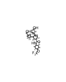 O=C(Nc1ccc(OC(F)(F)F)cc1)c1cnc(N2CC[C@@H](O)C2)c(-c2csc(CO)c2)c1